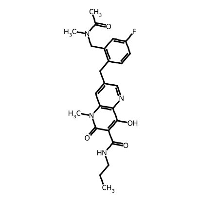 CCCNC(=O)c1c(O)c2ncc(Cc3ccc(F)cc3CN(C)C(C)=O)cc2n(C)c1=O